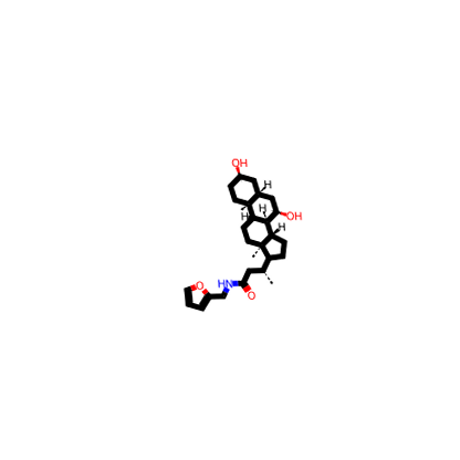 C[C@H](CC(=O)NCc1ccco1)C1CC[C@H]2[C@@H]3[C@H](O)C[C@@H]4C[C@H](O)CC[C@]4(C)[C@H]3CC[C@]12C